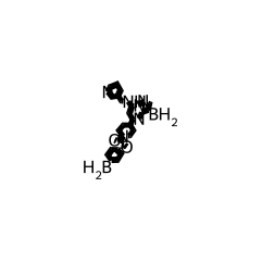 Bc1ccc(S(=O)(=O)N2CCC(c3cc(NCc4cccnc4)n4ncc(B)c4n3)CC2)cc1